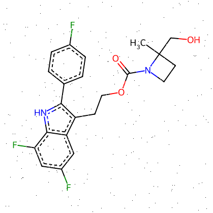 CC1(CO)CCN1C(=O)OCCc1c(-c2ccc(F)cc2)[nH]c2c(F)cc(F)cc12